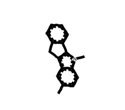 Cc1ccc2c(c1)c1c(n2C)-c2ccccc2C1